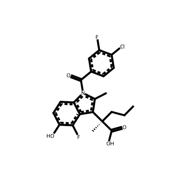 CCC[C@@](C)(C(=O)O)c1c(C)n(C(=O)c2ccc(Cl)c(F)c2)c2ccc(O)c(F)c12